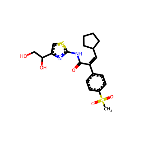 CS(=O)(=O)c1ccc(C(=CC2CCCC2)C(=O)Nc2nc(C(O)CO)cs2)cc1